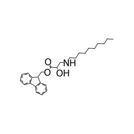 CCCCCCCCCCNCC(O)C(=O)OCC1c2ccccc2-c2ccccc21